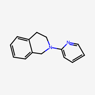 c1ccc(N2CCc3ccccc3C2)nc1